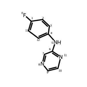 Fc1ccc(Nc2cnccn2)cc1